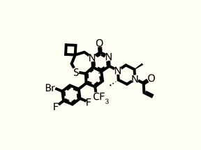 C=CC(=O)N1C[C@H](C)N(c2nc(=O)n3c4c(c(-c5cc(Br)c(F)cc5F)c(C(F)(F)F)cc24)SCC2(CCC2)C3)C[C@H]1C